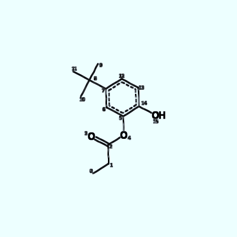 CCC(=O)Oc1cc(C(C)(C)C)ccc1O